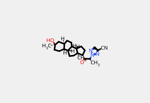 C[C@@H](C(=O)[C@H]1CC[C@H]2[C@@H]3CC[C@@H]4C[C@](C)(O)CC[C@@H]4[C@H]3CC[C@]12C)n1ncc(C#N)n1